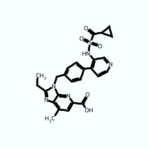 CCc1nc2c(C)cc(C(=O)O)nc2n1Cc1ccc(-c2ccncc2NS(=O)(=O)C(=O)C2CC2)cc1